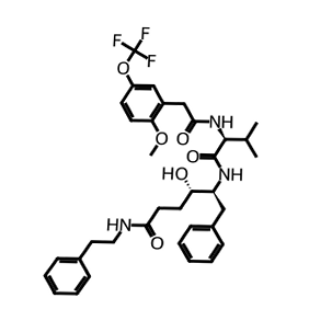 COc1ccc(OC(F)(F)F)cc1CC(=O)N[C@H](C(=O)N[C@@H](Cc1ccccc1)[C@@H](O)CCC(=O)NCCc1ccccc1)C(C)C